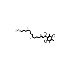 CC1=C(C)C(=O)C(C(=O)/C=C(\C)CCC[C@H](C)CCC[C@H](C)CCCC(C)C)=C(C)C1=O